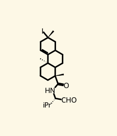 CC(C)[C@@H](C=O)NC(=O)[C@]1(C)CCC[C@@]2(C)C3=CC[C@](C)(I)CC3CCC12